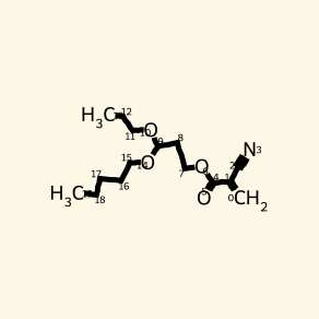 C=C(C#N)C(=O)OCCC(OCCC)OCCCCC